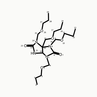 CCCOCN1C(=O)N(COCCC)C2(COCCC)C1NC(=O)N2COCCC